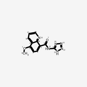 COc1ccc(C(=O)Nc2nnn[nH]2)c2ncccc12